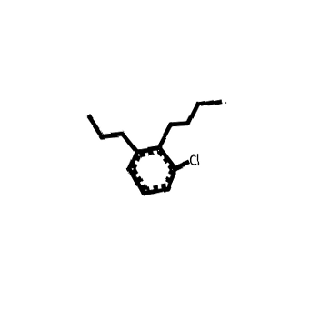 [CH2]CCCc1c(Cl)cccc1CCC